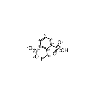 O=[N+]([O-])c1cccc(S(=O)(=O)O)c1CF